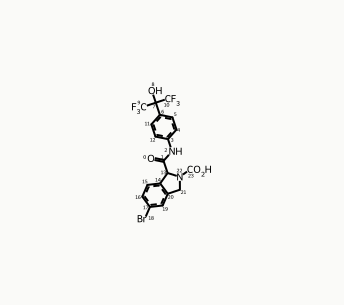 O=C(Nc1ccc(C(O)(C(F)(F)F)C(F)(F)F)cc1)C1c2ccc(Br)cc2CN1C(=O)O